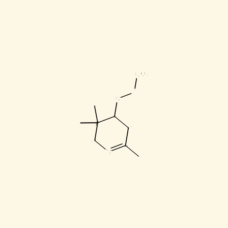 CNSNC1CC(C)=NCC1(C)C